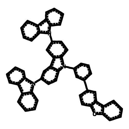 c1cc(-c2ccc3oc4ccccc4c3c2)cc(-n2c3ccc(-n4c5ccccc5c5ccccc54)cc3c3cc(-n4c5ccccc5c5ccccc54)ccc32)c1